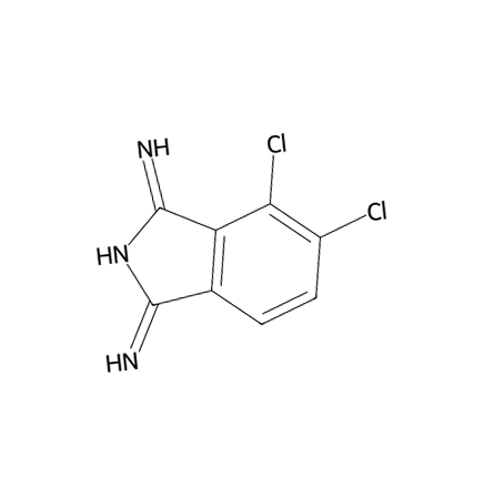 N=C1NC(=N)c2c1ccc(Cl)c2Cl